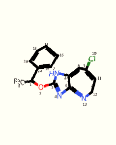 FC(F)(F)C(Oc1nc2c([nH]1)=CC(Cl)=CCN=2)c1ccccc1